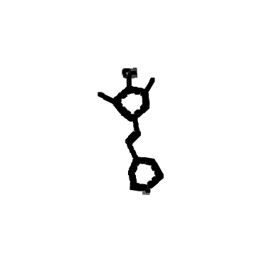 Cc1cc(C=Cc2ccncc2)cc(C)c1O